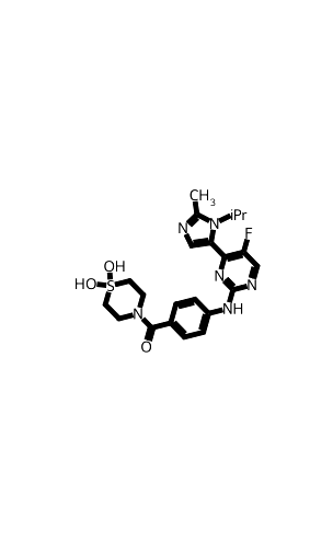 Cc1ncc(-c2nc(Nc3ccc(C(=O)N4CCS(O)(O)CC4)cc3)ncc2F)n1C(C)C